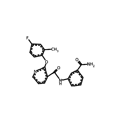 Cc1cc(F)ccc1Oc1ncccc1C(=O)Nc1cccc(C(N)=O)c1